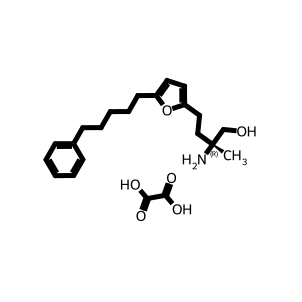 C[C@](N)(CO)CCc1ccc(CCCCCc2ccccc2)o1.O=C(O)C(=O)O